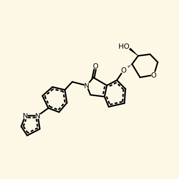 O=C1c2c(cccc2O[C@H]2COCC[C@@H]2O)CN1Cc1ccc(-n2cccn2)cc1